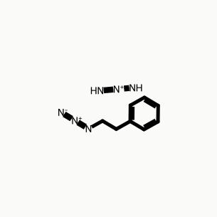 N=[N+]=N.[N-]=[N+]=NCCc1ccccc1